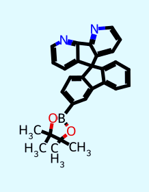 CC1(C)OB(c2ccc3c(c2)-c2ccccc2C32c3cccnc3-c3ncccc32)OC1(C)C